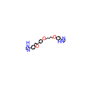 c1cc(C2=NCCN2)ccc1OCCCCCOc1ccc(-c2cc3cc(C4=NCCN4)ccc3o2)cc1